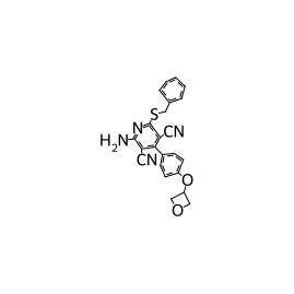 N#Cc1c(N)nc(SCc2ccccc2)c(C#N)c1-c1ccc(OC2COC2)cc1